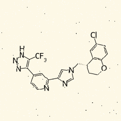 FC(F)(F)c1[nH]nnc1-c1ccnc(-c2cn(C[C@H]3CCOc4ccc(Cl)cc43)cn2)c1